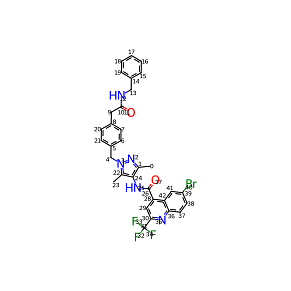 Cc1nn(Cc2ccc(CC(=O)NCc3ccccc3)cc2)c(C)c1NC(=O)c1cc(C(F)(F)F)nc2ccc(Br)cc12